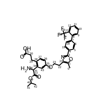 Cc1oc(-c2ccc(-c3ccccc3C(F)(F)F)cc2)nc1CCOc1ccc(CCC(=O)O)c(C(N)C(=O)OC(C)C)c1